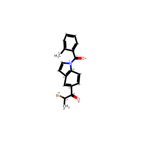 Cc1ccccc1C(=O)n1ccc2cc(C(=O)C(C)Br)ccc21